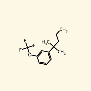 CCCC(C)(C)c1cccc(OC(F)(F)F)c1